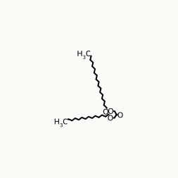 CCCCCCCCCCCCCCCCCCOC1(CCCCCCCCCCCCC)OCC(=O)CO1